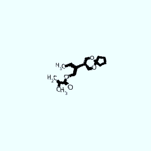 C=C(C)C(=O)OCC(CC)C1COC2(CCCC2)OC1